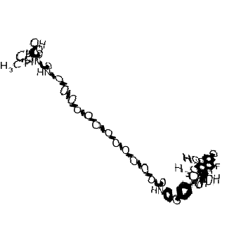 CC(C)SC(CC(=O)O)C(=O)NCCC(=O)NCCOCCOCCOCCOCCOCCOCCOCCOCCOCCOCCOCCOCCC(=O)Nc1ccc(Oc2ccc([C@@H]3O[C@@H]4CC5[C@@H]6C[C@H](F)C7=CC(=O)C=C[C@]7(C)C6[C@@H](O)C[C@]5(C)[C@]4(C(=O)CO)O3)cc2)cc1